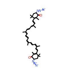 CC(C=CC=C(C)C=CC1=C(C)C(=O)C(N=[N+]=[N-])CC1(C)C)=CC=CC=C(C)C=CC=C(C)C=CC1=C(C)C(=O)C(N=[N+]=[N-])CC1(C)C